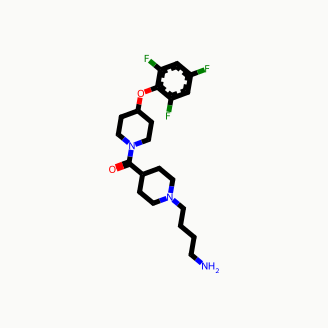 NCCCCN1CCC(C(=O)N2CCC(Oc3c(F)cc(F)cc3F)CC2)CC1